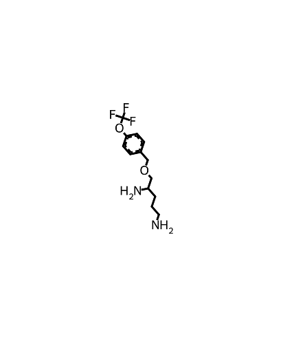 NCCCC(N)COCc1ccc(OC(F)(F)F)cc1